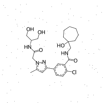 Cc1cc(-c2ccc(Cl)c(C(=O)NCC3(O)CCCCCC3)c2)nn1CC(=O)NC(CO)CO